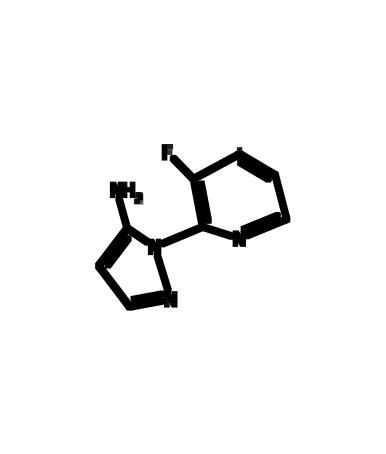 Nc1ccnn1-c1ncc[c]c1F